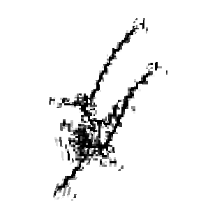 CCCCCCCCCCCCCCCCCCCC(=O)C(NC(=O)OC(CCCCCCCCC)[Si](C)(C)O[Si](C)(C)O[Si](C)(C)O[Si](C)(C)C(CCCCCCCCC)OC(=O)CC(C(=O)NCCCCCCCCCCCCCCCCCC)C(C)CC)C(C)CC